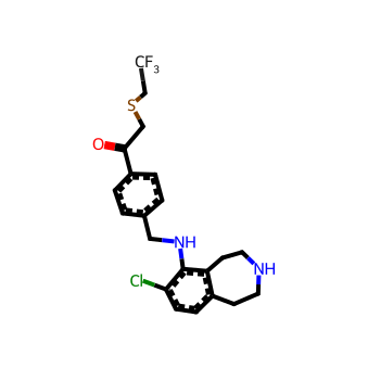 O=C(CSCC(F)(F)F)c1ccc(CNc2c(Cl)ccc3c2CCNCC3)cc1